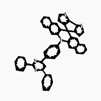 c1ccc(-c2cc(-c3ccc(N4c5cc6ccccc6cc5C5(c6cc7ccccc7cc64)c4ccsc4-c4sccc45)cc3)nc(-c3ccccc3)n2)cc1